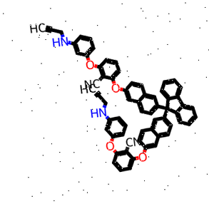 C#CCNc1cccc(Oc2cccc(Oc3ccc4cc(C5(c6ccc7cc(Oc8cccc(Oc9cccc(NCC#C)c9)c8C#N)ccc7c6)c6ccccc6-c6ccccc65)ccc4c3)c2C#N)c1